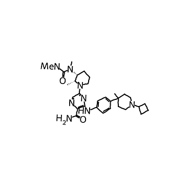 CNC(=O)N(C)[C@@H]1CCCN(c2cnc(C(N)=O)c(Nc3ccc(C4(C)CCN(C5CCC5)CC4)cc3)n2)[C@@H]1C